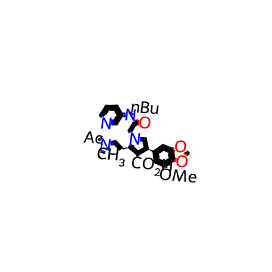 CCCCN(C(=O)CN1C[C@H](c2cc(OC)c3c(c2)OCO3)[C@@H](C(=O)O)[C@@H]1CCN(C)C(C)=O)c1cccnc1